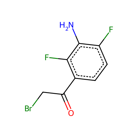 Nc1c(F)ccc(C(=O)CBr)c1F